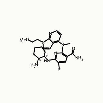 COCCn1ccc2c(N(C)c3nc(N[C@@H]4CCCC[C@@H]4N)c(F)cc3C(N)=O)ccnc21